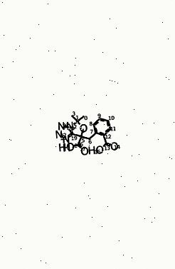 CC(C)(C)OC(Cc1ccccc1C(=O)O)(C(=O)O)c1nnn[nH]1